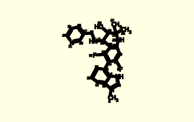 Cc1c[nH]c2c(-c3c(F)cc4c(c3F)C(NCc3cccnc3)C(O)C(C)(C)N4)cccc12